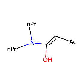 CCCN(CCC)/C(O)=C/C(C)=O